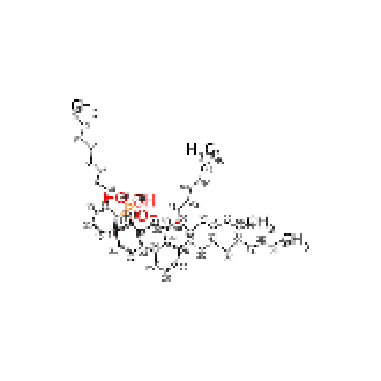 CCCCCCCCCc1ccccc1P(O)(O)(O)c1cccc(-c2cccc(CCCCCCCCC)c2CCCCCCCCC)c1CCCCCCCCC